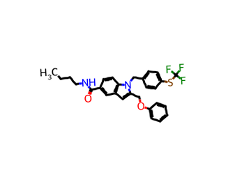 CCCCNC(=O)c1ccc2c(c1)cc(COc1ccccc1)n2Cc1ccc(SC(F)(F)F)cc1